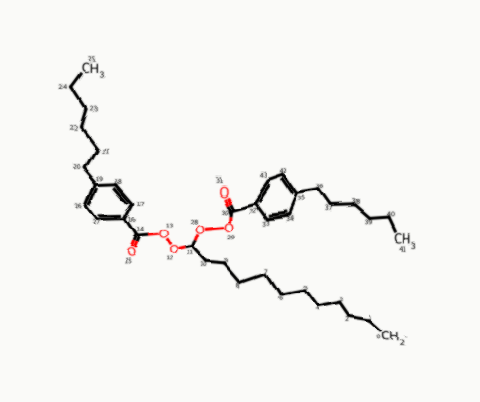 [CH2]CCCCCCCCCC[C](OOC(=O)c1ccc(CCCCCC)cc1)OOC(=O)c1ccc(CCCCCC)cc1